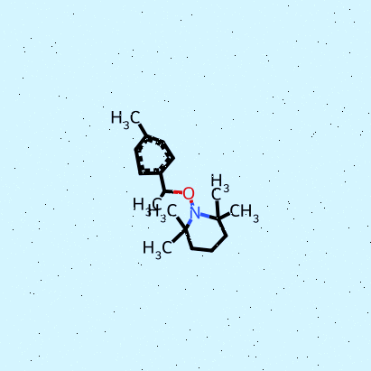 Cc1ccc(C(C)ON2C(C)(C)CCCC2(C)C)cc1